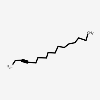 [CH2]CC#CCCCCCCCCCCC[CH2]